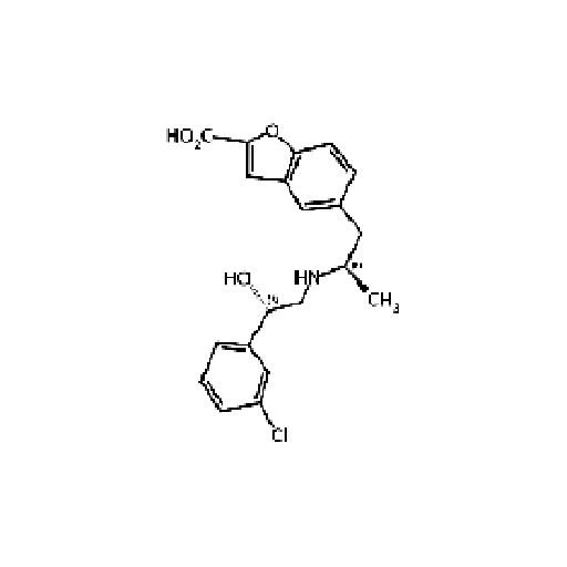 C[C@H](Cc1ccc2oc(C(=O)O)cc2c1)NC[C@@H](O)c1cccc(Cl)c1